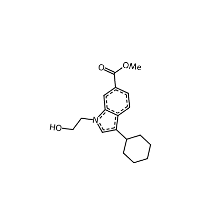 COC(=O)c1ccc2c(C3CCCCC3)cn(CCO)c2c1